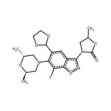 CC1CN(c2noc3c(F)c(N4C[C@@H](C)O[C@H](C)C4)c(C4OCCO4)cc23)C(=O)O1